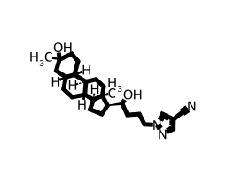 C[C@@]1(O)CC[C@H]2[C@H](CC[C@@H]3[C@@H]2CC[C@]2(C)[C@@H](C(O)CCCn4cc(C#N)cn4)CC[C@@H]32)C1